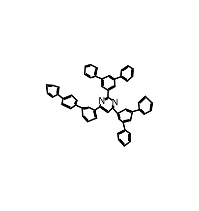 c1ccc(-c2ccc(-c3cccc(-c4cc(-c5cc(-c6ccccc6)cc(-c6ccccc6)c5)nc(-c5cc(-c6ccccc6)cc(-c6ccccc6)c5)n4)c3)cc2)cc1